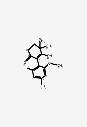 COc1cc(C)cc(Cl)c1C1=C(O)C(C)(C)CCC1=O